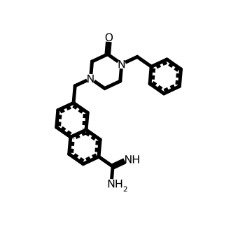 N=C(N)c1ccc2ccc(CN3CCN(Cc4ccccc4)C(=O)C3)cc2c1